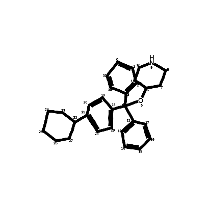 c1ccc(C(OC2CCNCC2)(c2ccccc2)c2ccc(C3CCCCC3)cc2)cc1